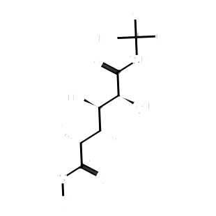 CCC(C)(C)NC(=O)[C@@H](O)[C@H](O)[C@H](O)[C@@H](O)C(=O)NC(C)C